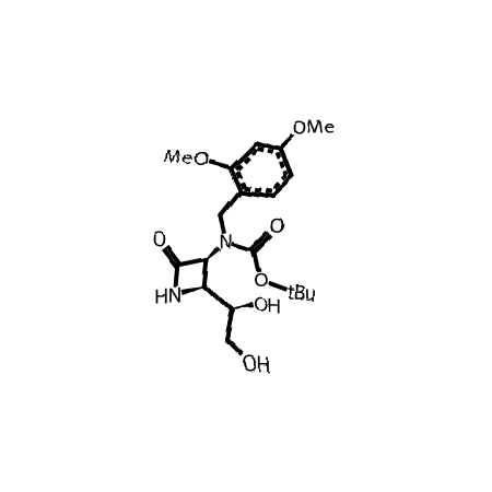 COc1ccc(CN(C(=O)OC(C)(C)C)[C@@H]2C(=O)N[C@@H]2[C@@H](O)CO)c(OC)c1